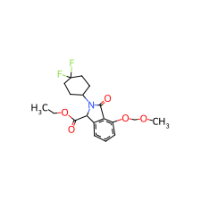 CCOC(=O)C1c2cccc(OCOC)c2C(=O)N1C1CCC(F)(F)CC1